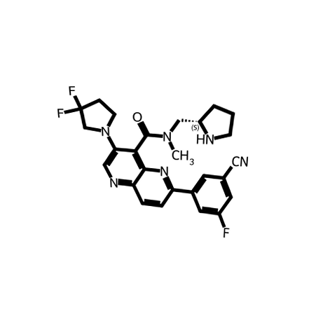 CN(C[C@@H]1CCCN1)C(=O)c1c(N2CCC(F)(F)C2)cnc2ccc(-c3cc(F)cc(C#N)c3)nc12